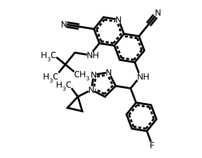 CC(C)(C)CNc1c(C#N)cnc2c(C#N)cc(NC(c3ccc(F)cc3)c3cn(C4(C)CC4)nn3)cc12